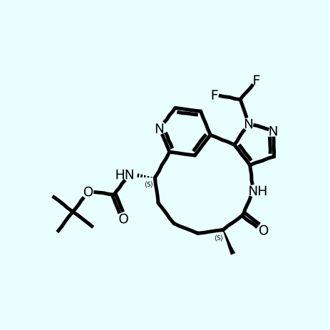 C[C@H]1CCC[C@H](NC(=O)OC(C)(C)C)c2cc(ccn2)-c2c(cnn2C(F)F)NC1=O